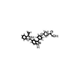 O=C(NC(c1ccccc1)C1CC1)c1ccc2[nH]nc(-c3ccc(OC4CCN(C(=O)CO)CC4)cc3)c2c1